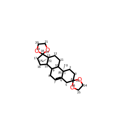 C[C@]12CCC3(CC1=CCC1C2CC[C@@]2(C)C1CCC21OCCO1)OCCO3